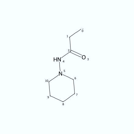 [CH2]CC(=O)NN1CCCCC1